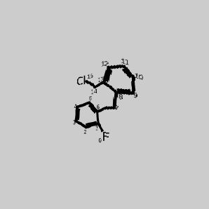 Fc1ccccc1Cc1ccccc1CCl